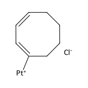 [Cl-].[Pt+]/[C]1=C/C=C\CCCC1